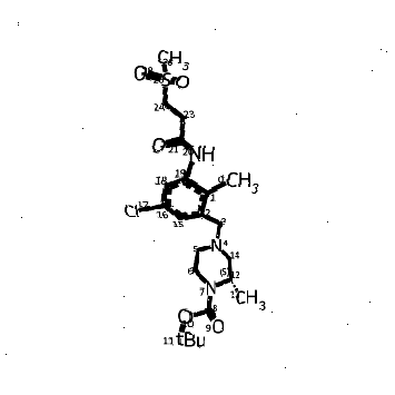 Cc1c(CN2CCN(C(=O)OC(C)(C)C)[C@@H](C)C2)cc(Cl)cc1NC(=O)CCS(C)(=O)=O